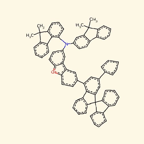 CC1(C)c2ccccc2-c2ccc(N(c3ccc4oc5ccc(-c6cc(-c7ccccc7)cc7c6-c6ccccc6C76c7ccccc7-c7ccccc76)cc5c4c3)c3cccc4c3-c3ccccc3C4(C)C)cc21